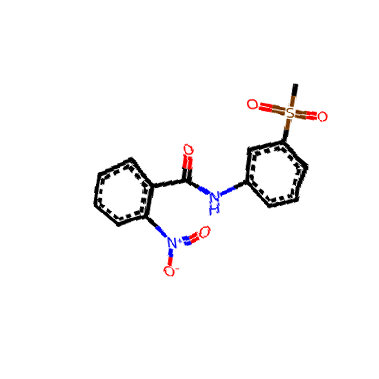 CS(=O)(=O)c1cccc(NC(=O)c2ccccc2[N+](=O)[O-])c1